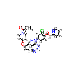 CC(=O)N1CCC(Oc2ccc3ncnc(Nc4ccc(OCc5ccccn5)c(Cl)c4)c3c2)CC1